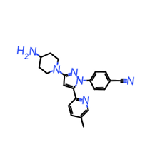 Cc1ccc(-c2cc(N3CCC(N)CC3)nn2-c2ccc(C#N)cc2)nc1